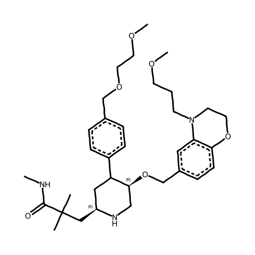 CNC(=O)C(C)(C)C[C@H]1CC(c2ccc(COCCOC)cc2)[C@@H](OCc2ccc3c(c2)N(CCCOC)CCO3)CN1